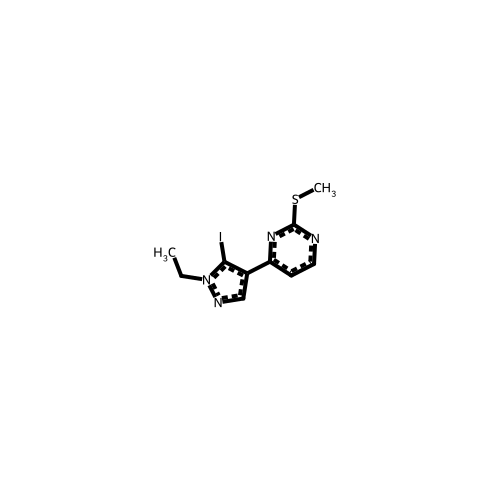 CCn1ncc(-c2ccnc(SC)n2)c1I